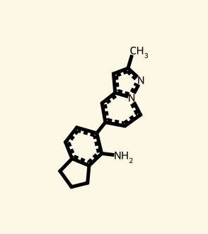 Cc1cc2cc(-c3ccc4c(c3N)CCC4)ccn2n1